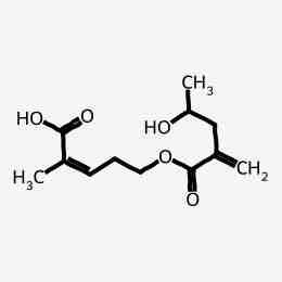 C=C(CC(C)O)C(=O)OCCC=C(C)C(=O)O